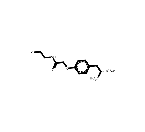 CO[C@@H](Cc1ccc(OCC(=O)NCCC(C)C)cc1)C(=O)O